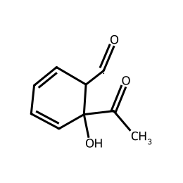 CC(=O)C1(O)C=CC=CC1[C]=O